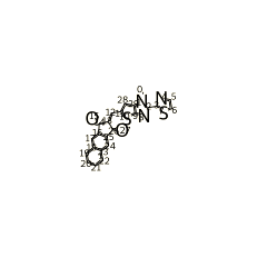 Cn1c(-c2nccs2)nc2sc(C=C3C(=O)c4cc5ccccc5cc4C3=O)cc21